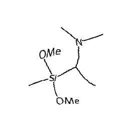 CO[Si](C)(OC)C(C)N(C)C